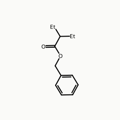 CCC(CC)C(=O)OCc1ccccc1